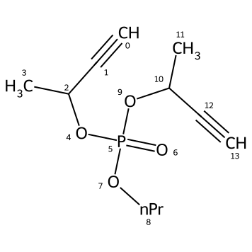 C#CC(C)OP(=O)(OCCC)OC(C)C#C